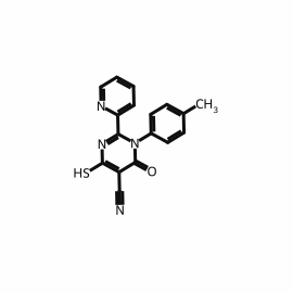 Cc1ccc(-n2c(-c3ccccn3)nc(S)c(C#N)c2=O)cc1